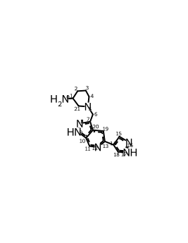 NC1CCCN(Cc2n[nH]c3cnc(-c4cn[nH]c4)cc23)C1